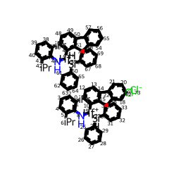 CC(C)c1cccc(C(C)C)c1[NH][Hf+]([c]1cccc2c1Cc1ccccc1-2)[SiH](c1ccccc1)c1ccccc1.CC(C)c1cccc(C(C)C)c1[NH][Hf+]([c]1cccc2c1Cc1ccccc1-2)[SiH](c1ccccc1)c1ccccc1.[Cl-].[Cl-]